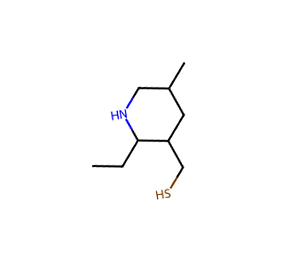 CCC1NCC(C)CC1CS